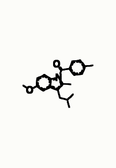 COc1ccc2c(c1)c(CC(C)C)c(C)n2C(=O)c1ccc(C)cc1